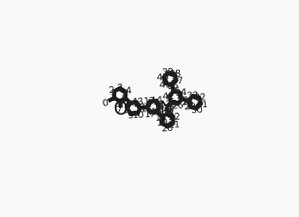 CC1CC=Cc2c1oc1ccc(-c3ccc4c(c3)c3ccccc3n4C3=CC(c4ccccc4)=CC(c4ccccc4)C3)cc21